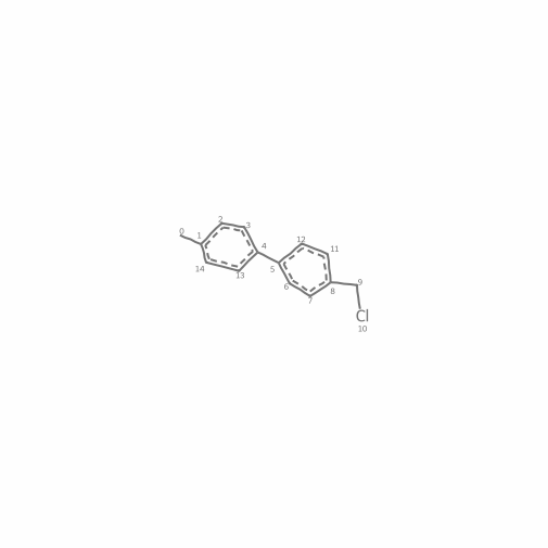 Cc1ccc(-c2ccc(CCl)cc2)cc1